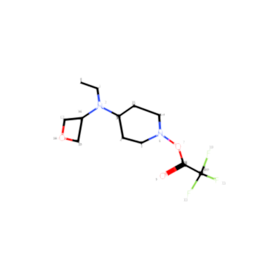 CCN(C1CCN(OC(=O)C(F)(F)F)CC1)C1COC1